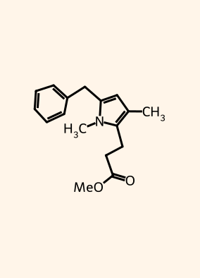 COC(=O)CCc1c(C)cc(Cc2ccccc2)n1C